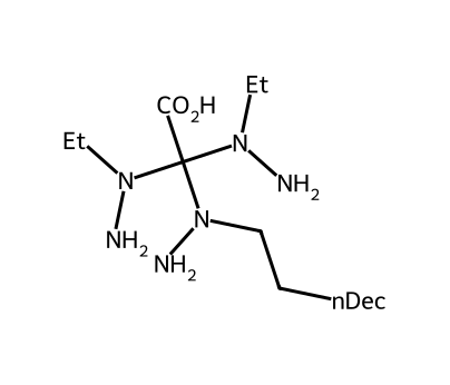 CCCCCCCCCCCCN(N)C(C(=O)O)(N(N)CC)N(N)CC